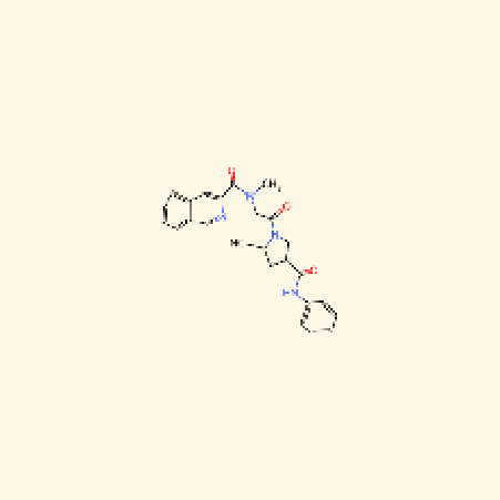 CN(CC(=O)N1CC(C(=O)Nc2ccccc2)CC1C#N)C(=O)c1cc2ccccc2cn1